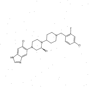 CC[C@H]1CN(c2cc3nc[nH]c3cc2Cl)CCN1C1CCN(Cc2ccc(Cl)cc2F)CC1